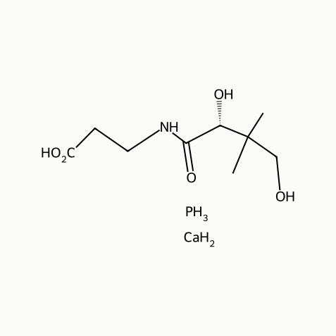 CC(C)(CO)[C@@H](O)C(=O)NCCC(=O)O.P.[CaH2]